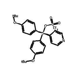 CC(C)(C)Oc1ccc(S(OS(=O)(=O)C(F)(F)F)(c2ccncc2)c2ccc(OC(C)(C)C)cc2)cc1